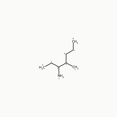 [CH2]CC(N)C(C)CCC